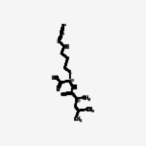 CC(C)C[C@H](N)C(=O)N[C@@H](CCCCNN=[N+]=[N-])C(=O)O